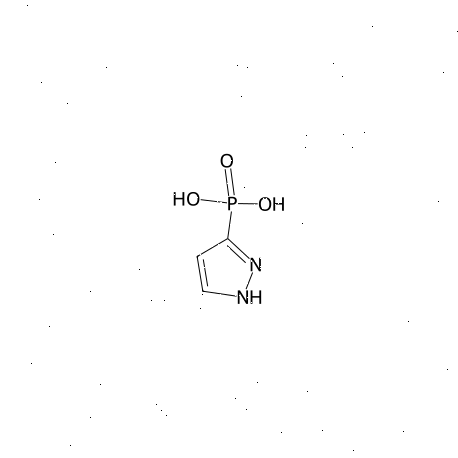 O=P(O)(O)c1cc[nH]n1